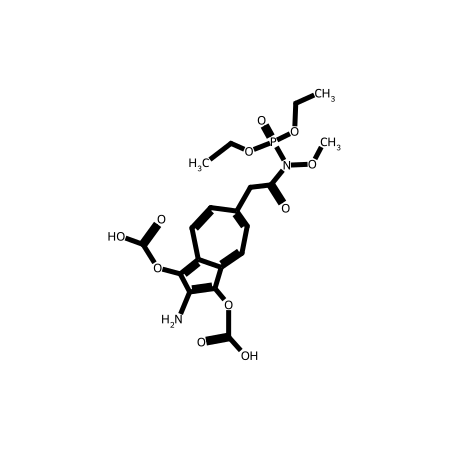 CCOP(=O)(OCC)N(OC)C(=O)Cc1ccc2c(OC(=O)O)c(N)c(OC(=O)O)c-2cc1